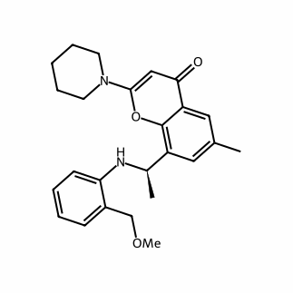 COCc1ccccc1N[C@H](C)c1cc(C)cc2c(=O)cc(N3CCCCC3)oc12